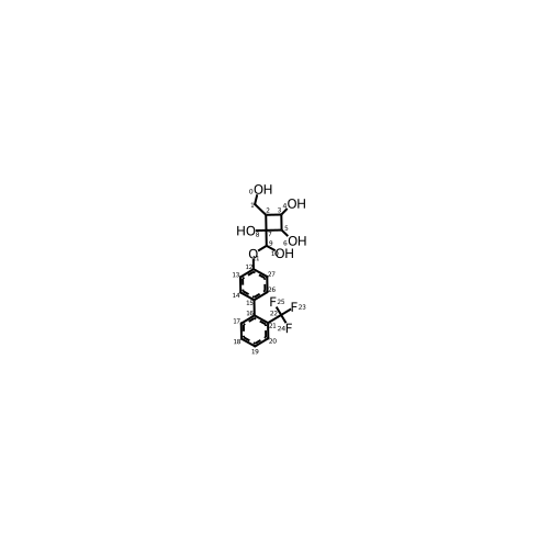 OCC1C(O)C(O)C1(O)C(O)Oc1ccc(-c2ccccc2C(F)(F)F)cc1